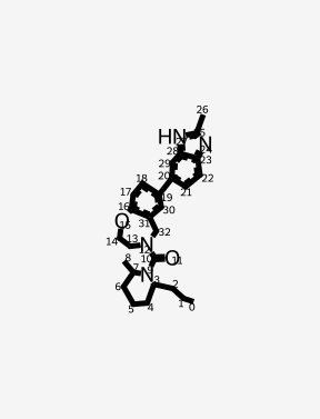 CCCC1CCCC(C)N1C(=O)N1CCOc2ccc(-c3ccc4nc(C)[nH]c4c3)cc2C1